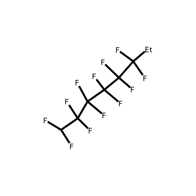 CCC(F)(F)C(F)(F)C(F)(F)C(F)(F)C(F)(F)[C](F)F